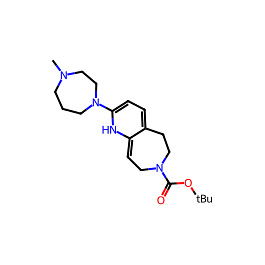 CN1CCCN(C2=CC=C3CCN(C(=O)OC(C)(C)C)CC=C3N2)CC1